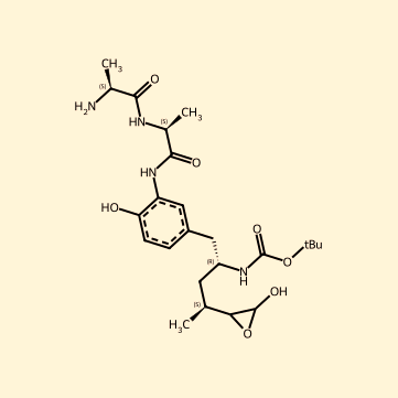 C[C@H](N)C(=O)N[C@@H](C)C(=O)Nc1cc(C[C@@H](C[C@H](C)C2OC2O)NC(=O)OC(C)(C)C)ccc1O